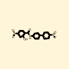 O=C(Nc1ccc(-c2ccc([N+](=O)[O-])cc2)cc1)c1ccc([N+](=O)[O-])cc1O